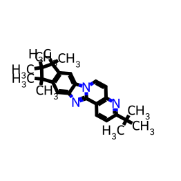 CC(C)(C)c1ccc2c(ccn3c4cc5c(cc4nc23)C(C)(C)C(C)(C)C5(C)C)n1